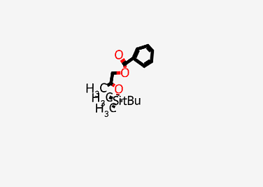 CC(COC(=O)c1ccccc1)O[Si](C)(C)C(C)(C)C